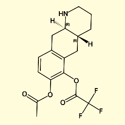 CC(=O)Oc1ccc2c(c1OC(=O)C(F)(F)F)C[C@H]1CCCN[C@@H]1C2